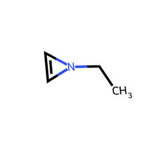 CCN1C=C1